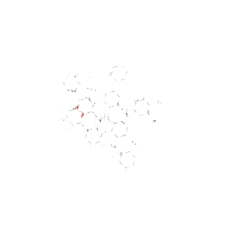 Cc1cc(C)c(-c2cc3c4c(c2)N(c2cc5c(cc2C)C(C)(C)CCC5(C)C)c2cc5c(cc2B4N(c2ccccc2-c2ccccc2)c2ccc4c(c2-3)C(C)(C)c2ccccc2-4)C(C)(C)c2ccccc2C5(C)C)c(C)c1